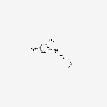 CN(C)CCCCNc1ccc(N)cc1C(F)(F)F